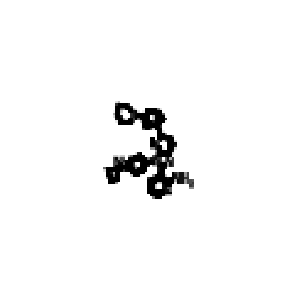 Nc1ncccc1-c1nc2ccc(-c3cccc(N4CCCCC4)c3)nc2n1-c1ccc(C2(N)CCC2)cc1